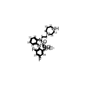 Cl.Cl.O=S1(=O)N(CCN2CCCNCC2)c2ccccc2N1c1c(F)cc(F)cc1F